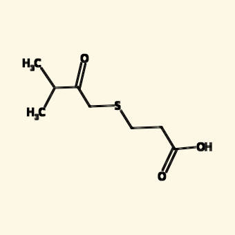 CC(C)C(=O)CSCCC(=O)O